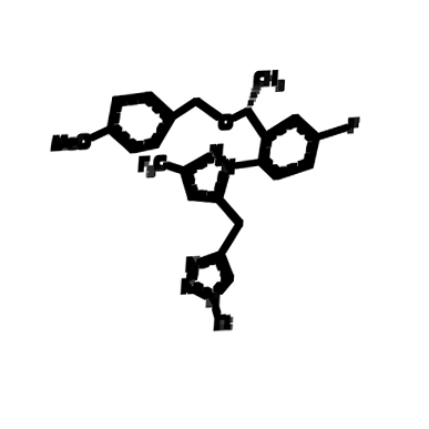 CCn1cc(Cc2cc(C(F)(F)F)nn2-c2ccc(F)cc2[C@@H](C)OCc2ccc(OC)cc2)nn1